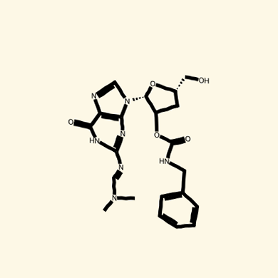 CN(C)/C=N/c1nc2c(ncn2[C@@H]2O[C@H](CO)CC2OC(=O)NCc2ccccc2)c(=O)[nH]1